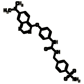 CN(C)c1ccc2c(Oc3ccc(NC(=O)NCc4ccc(S(N)(=O)=O)cc4)cc3)ncnc2c1